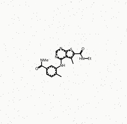 CCNC(=O)c1sc2ncnc(Nc3cc(C(=O)NC)ccc3C)c2c1C